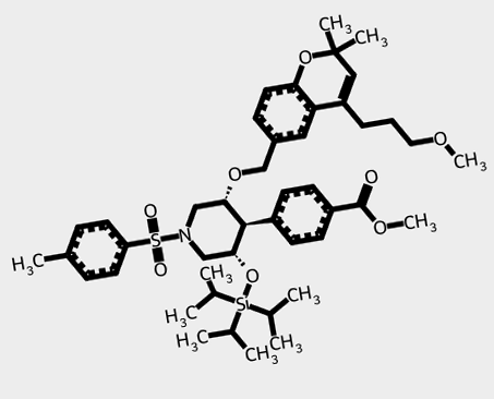 COCCCC1=CC(C)(C)Oc2ccc(CO[C@H]3CN(S(=O)(=O)c4ccc(C)cc4)C[C@@H](O[Si](C(C)C)(C(C)C)C(C)C)[C@@H]3c3ccc(C(=O)OC)cc3)cc21